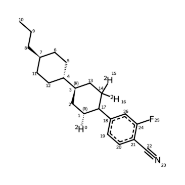 [2H][C@@H]1C[C@@H]([C@H]2CC[C@H](CCC)CC2)CC([2H])([2H])C1c1ccc(C#N)c(F)c1